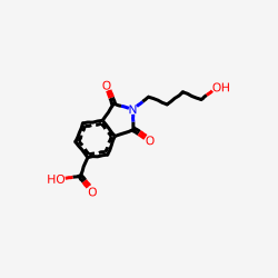 O=C(O)c1ccc2c(c1)C(=O)N(CCCCO)C2=O